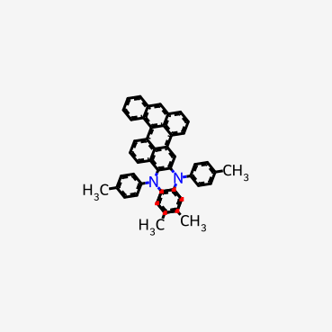 Cc1ccc(N(c2ccc(C)cc2)c2cc3c4cccc5cc6ccccc6c(c6cccc(c2N(c2ccc(C)cc2)c2ccc(C)cc2)c36)c54)cc1